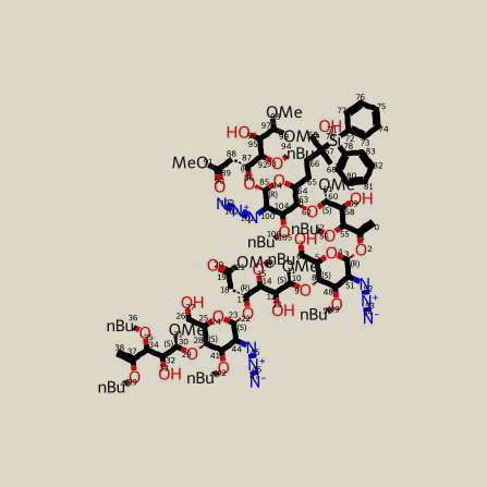 C=C(O[C@H]1OC(CO)[C@@H](O[C@H](OC)C(O)C(OCCCC)[C@@H](CC(=O)OC)O[C@H]2OC(CO)[C@@H](O[C@H](OC)C(O)C(OCCCC)C(=C)OCCCC)C(OCCCC)C2N=[N+]=[N-])C(OCCCC)C1N=[N+]=[N-])C(OCCCC)C(O)[C@@H](OC)O[C@@H]1C(CCC(C)(C)[Si](O)(c2ccccc2)c2ccccc2)O[C@H](O[C@H](CC(=O)OC)C(OCCCC)C(O)C(OC)OC)C(N=[N+]=[N-])C1OCCCC